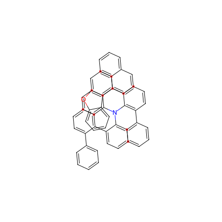 c1ccc(-c2ccccc2-c2ccccc2N(c2ccccc2-c2cccc3ccccc23)c2c(-c3ccccc3)cccc2-c2cccc3oc4ccccc4c23)cc1